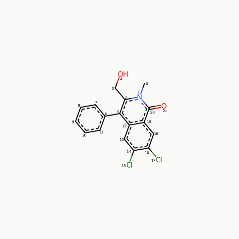 Cn1c(CO)c(-c2ccccc2)c2cc(Cl)c(Cl)cc2c1=O